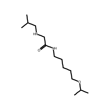 CC(C)CNCC(=O)NCCCCCOC(C)C